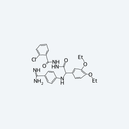 CCOc1ccc(C(Nc2ccc(C(=N)N)cc2)C(=O)NNC(=O)c2ccccc2Cl)cc1OCC